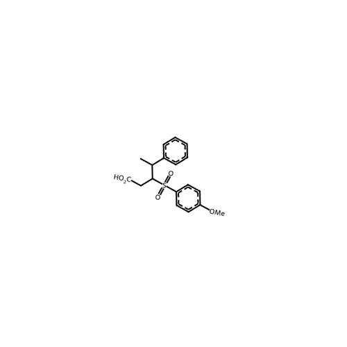 COc1ccc(S(=O)(=O)C(CC(=O)O)C(C)c2ccccc2)cc1